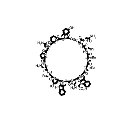 CCCC[C@H]1C(=O)N(C)[C@@H](CCCC)C(=O)N[C@@H](CC(C)C)C(=O)N[C@H](C(=O)NCC(N)=O)CSCC(=O)N[C@@H](Cc2ccc(O)cc2)C(=O)N2CCCC[C@H]2C(=O)N[C@@H](CC(N)=O)C(=O)N2CCC[C@H]2C(=O)N[C@@H](CN)C(=O)N[C@@H](CC(C)C)C(=O)N2C[C@H](O)C[C@H]2C(=O)N[C@@H](Cc2c[nH]c3ccccc23)C(=O)N[C@@H](CCN)C(=O)N[C@@H](Cc2cn(CC(=O)O)c3ccccc23)C(=O)N1C